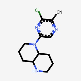 N#Cc1ncc(N2CCCC3NCCCC32)nc1Cl